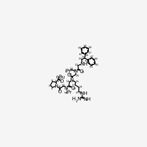 CCCCC(=O)C1CCCN1C(=O)CN(C(=O)CN(CCCCNC(=N)N)C(=O)CN(CC(C)C)C(=O)CNCC(c1ccccc1)c1ccccc1)C(C)C